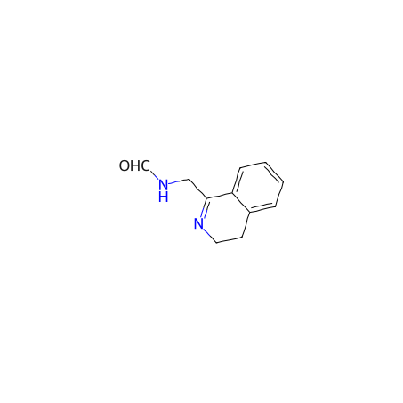 O=CNCC1=NCCc2ccccc21